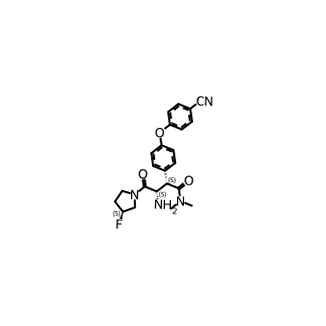 CN(C)C(=O)[C@@H](c1ccc(Oc2ccc(C#N)cc2)cc1)[C@H](N)C(=O)N1CC[C@H](F)C1